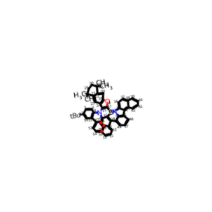 CC(C)(C)c1ccc(N2c3cc4ccccc4c4c3B(c3oc5cc6c(cc5c32)C(C)(C)CCC6(C)C)n2c3ccc5ccccc5c3c3cccc-4c32)c(-c2ccccc2)c1